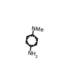 [CH2]Nc1ccc(N)cc1